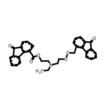 CCN(CCOOCc1cccc2c1-c1ccccc1C2=O)CCOC(=O)c1cccc2c1-c1ccccc1C2=O